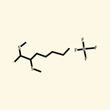 F[B-](F)(F)F.[CH2]C(SC)C(CCCCC)SC